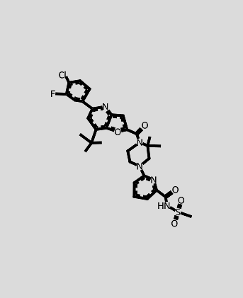 CC(C)(C)c1cc(-c2ccc(Cl)c(F)c2)nc2cc(C(=O)N3CCN(c4cccc(C(=O)NS(C)(=O)=O)n4)CC3(C)C)oc12